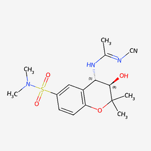 CC(=NC#N)N[C@H]1c2cc(S(=O)(=O)N(C)C)ccc2OC(C)(C)[C@@H]1O